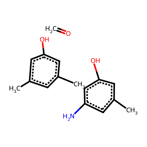 C=O.Cc1cc(C)cc(O)c1.Cc1cc(N)cc(O)c1